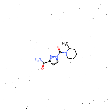 C[C@H]1CCCCN1C(=O)n1ccc(C(N)=O)n1